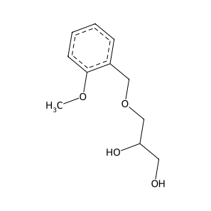 COc1ccccc1COCC(O)CO